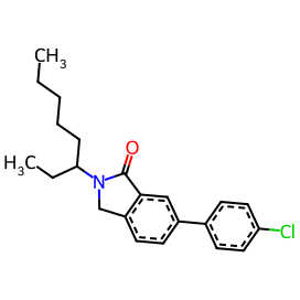 CCCCCC(CC)N1Cc2ccc(-c3ccc(Cl)cc3)cc2C1=O